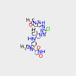 C[C@@H]1CN(c2ncc(Cl)c(Nc3cnc4c(c3)CC(=O)N4C)n2)CC[C@H]1Nc1ccc2c(C3CCC(=O)NC3=O)nn(C)c2c1